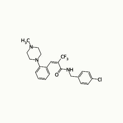 CN1CCN(c2ccccc2/C=C(\C(=O)NCc2ccc(Cl)cc2)C(F)(F)F)CC1